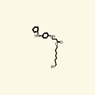 CC(C)CCCCCCCOC(=O)CCNc1ccc(Nc2ccccc2)cc1